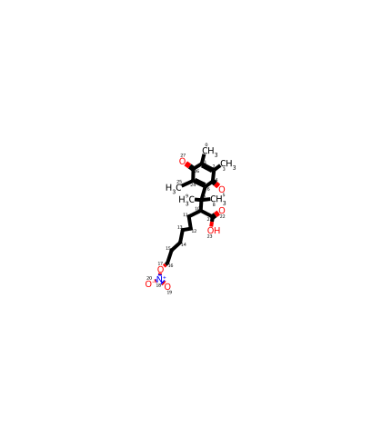 CC1=C(C)C(=O)C(C(C)(C)C(CCCCCCO[N+](=O)[O-])C(=O)O)=C(C)C1=O